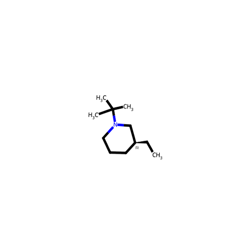 CC[C@H]1CCCN(C(C)(C)C)C1